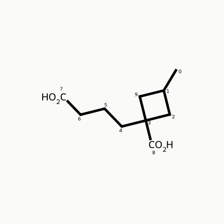 CC1CC(CCCC(=O)O)(C(=O)O)C1